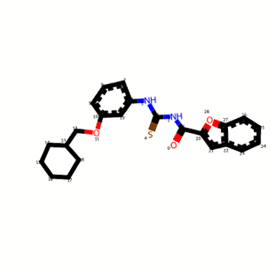 O=C(NC(=S)Nc1cccc(OCC2CCCCC2)c1)c1cc2ccccc2o1